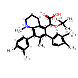 Cc1ccc(-c2c(C)c(-c3ccc(C)c(C)c3)c3c(c2C(OC(C)(C)C)C(=O)O)CCCN3C)cc1C